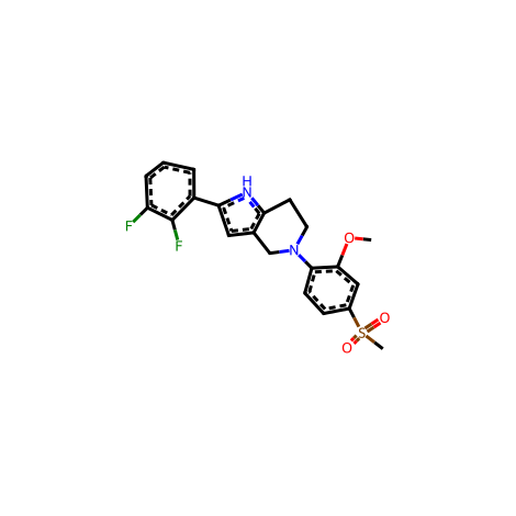 COc1cc(S(C)(=O)=O)ccc1N1CCc2[nH]c(-c3cccc(F)c3F)cc2C1